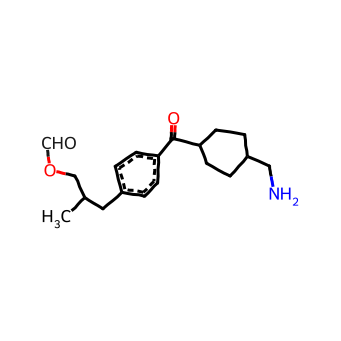 CC(COC=O)Cc1ccc(C(=O)C2CCC(CN)CC2)cc1